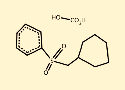 O=C(O)O.O=S(=O)(CC1CCCCC1)c1ccccc1